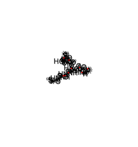 COc1cc2c(cc1OCc1cc(COc3cc4c(cc3OC)C(=O)N3c5ccccc5C[C@H]3C(S(=O)(=O)O)N4)cc(NC(=O)CNC(=O)CNC(=O)CNC(=O)CCC(C)(C)SSC)c1)NC[C@@H]1Cc3ccccc3N1C2=O